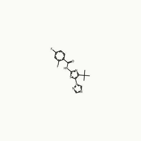 CC(C)(C)c1nc(NC(=O)c2ccc(F)cc2F)sc1-n1cncn1